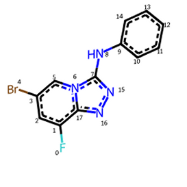 Fc1cc(Br)cn2c(Nc3ccccc3)nnc12